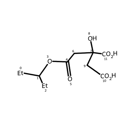 CCC(CC)OC(=O)CC(O)(CC(=O)O)C(=O)O